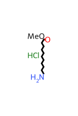 COC(=O)CCCCCCCCCCN.Cl